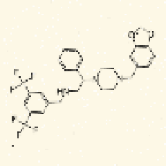 FC(F)(F)c1cc(CNCC(c2ccccc2)N2CCN(Cc3ccc4c(c3)OCO4)CC2)cc(C(F)(F)F)c1